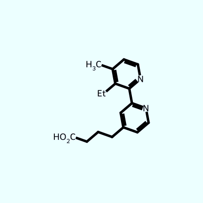 CCc1c(C)ccnc1-c1cc(CCCC(=O)O)ccn1